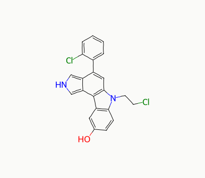 Oc1ccc2c(c1)c1c3c[nH]cc3c(-c3ccccc3Cl)cc1n2CCCl